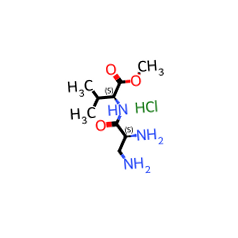 COC(=O)[C@@H](NC(=O)[C@@H](N)CN)C(C)C.Cl